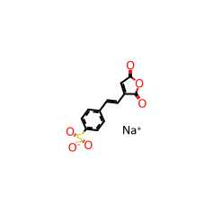 O=C1C=C(C=Cc2ccc(S(=O)(=O)[O-])cc2)C(=O)O1.[Na+]